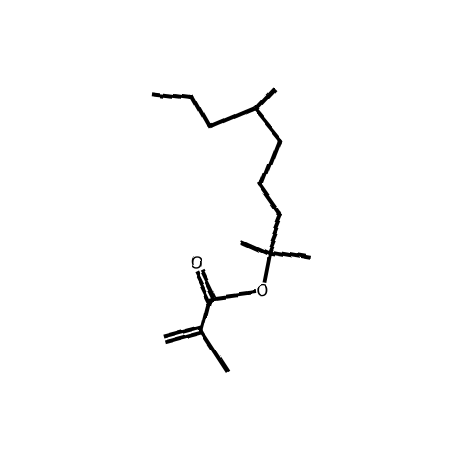 C=C(C)C(=O)OC(C)(C)CCCC(C)CCC